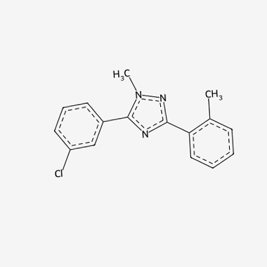 Cc1ccccc1-c1nc(-c2cccc(Cl)c2)n(C)n1